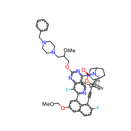 COCOc1cc(-c2ncc3c(N4CC5CCC(C4)N5C(=O)OC(C)(C)C)nc(OCC(CN4CCN(Cc5ccccc5)CC4)OC)nc3c2F)c2c(C#C[Si](C(C)C)(C(C)C)C(C)C)c(F)ccc2c1